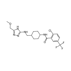 COCc1nnc(NCC2CCC(NC(=O)c3cc(C(F)(F)F)ccc3Cl)CC2)[nH]1